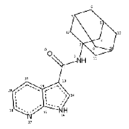 O=C(NC12CC3CC(CC(C3)C1)C2)c1c[nH]c2ncccc12